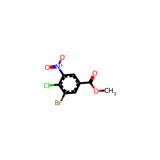 COC(=O)c1cc(Br)c(Cl)c([N+](=O)[O-])c1